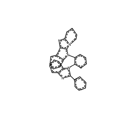 c1ccc(-c2nc3ccccc3n2-c2ccccc2-n2c3ccccc3c3nc4ccccn4c32)cc1